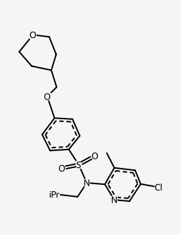 Cc1cc(Cl)cnc1N(CC(C)C)S(=O)(=O)c1ccc(OCC2CCOCC2)cc1